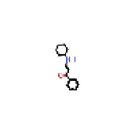 O=C(/C=C/NC1CCCCC1)c1ccccc1